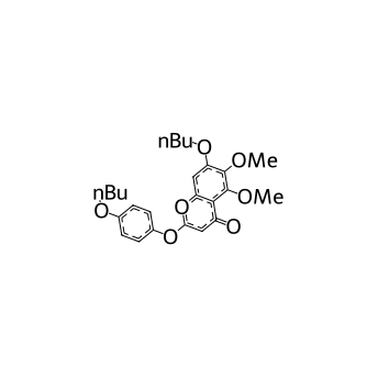 CCCCOc1ccc(Oc2cc(=O)c3c(OC)c(OC)c(OCCCC)cc3o2)cc1